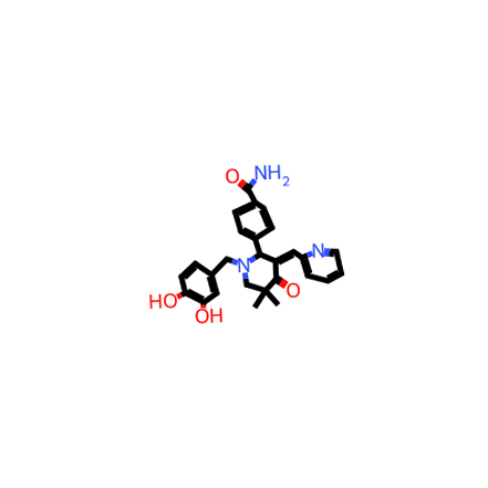 CC1(C)CN(Cc2ccc(O)c(O)c2)C(c2ccc(C(N)=O)cc2)C(=Cc2ccccn2)C1=O